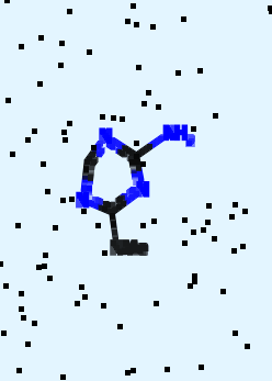 CNc1ncnc(N)n1